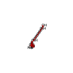 Cc1c(Cl)c(Cl)c(Cl)c2c1C(=O)OC21c2cc3c(cc2Oc2c1cc1c4c2CCCN4C(C)(C)CC1CSO)N(CCCC(=O)NCCOCCOCCOCCOCCOCCOCCOCCOCCC(=O)NCCc1ccc(O)cc1)CCC3